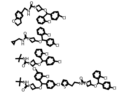 CC(C)(C)NC(=O)N1CC(OC(c2ccc(Cl)cc2)c2ccc(Cl)cc2Cl)C1.CC(C)(C)NC(=O)N1CC(OC(c2ccc(Cl)cc2)c2ccccc2Cl)C1.O=C(NCC1CC1)N1CC(OC(c2ccc(Cl)cc2)c2ccccc2Cl)C1.O=C(NCCc1cccs1)N1CC(OC(c2ccc(Cl)cc2)c2ccccc2Cl)C1.O=C(NCc1ccc2c(c1)CCO2)N1CC(OC(c2ccc(Cl)cc2)c2ccccc2Cl)C1